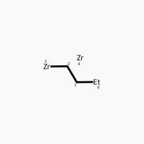 CCC[CH2][Zr].[Zr]